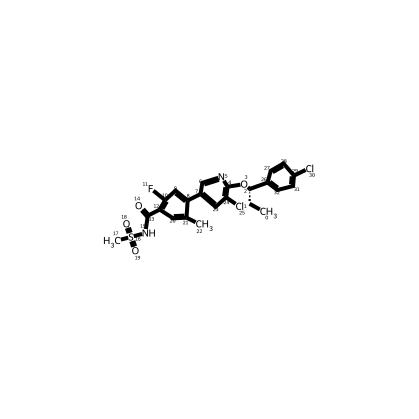 CC[C@H](Oc1ncc(-c2cc(F)c(C(=O)NS(C)(=O)=O)cc2C)cc1Cl)c1ccc(Cl)cc1